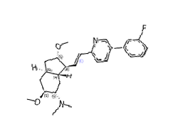 CO[C@H]1C[C@@H]2C[C@H](OC)[C@@H](N(C)C)C[C@H]2[C@@H]1/C=C/c1ccc(-c2cccc(F)c2)cn1